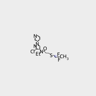 CCN(C(=O)CCS/C=C/C(C)(F)F)c1cn(-c2cccnc2)nc1Cl